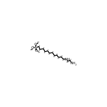 CO[Si](CCCCCCCCCCCCNCCN)(OC)OC